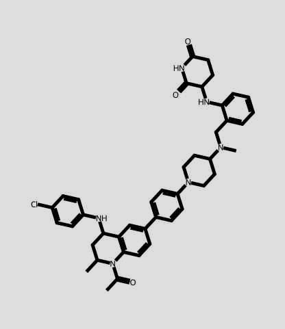 CC(=O)N1c2ccc(-c3ccc(N4CCC(N(C)Cc5ccccc5NC5CCC(=O)NC5=O)CC4)cc3)cc2C(Nc2ccc(Cl)cc2)CC1C